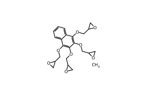 C.c1ccc2c(OCC3CO3)c(OCC3CO3)c(OCC3CO3)c(OCC3CO3)c2c1